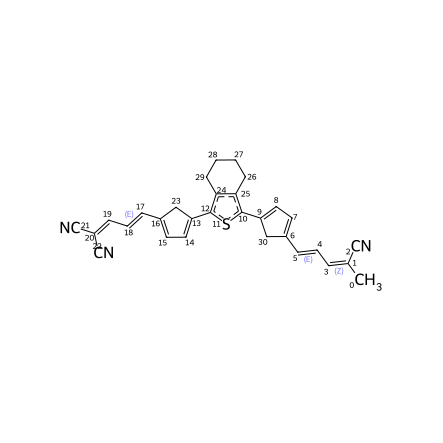 C/C(C#N)=C/C=C/C1=CC=C(c2sc(C3=CC=C(/C=C/C=C(C#N)C#N)C3)c3c2CCCC3)C1